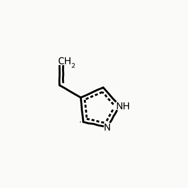 C=Cc1[c]n[nH]c1